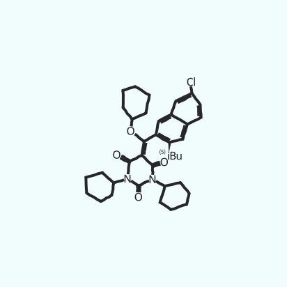 CC[C@H](C)c1cc2ccc(Cl)cc2cc1C(OC1CCCCC1)=C1C(=O)N(C2CCCCC2)C(=O)N(C2CCCCC2)C1=O